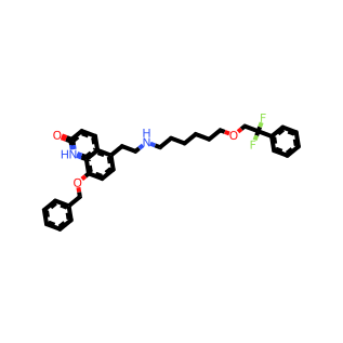 O=c1ccc2c(CCNCCCCCCOCC(F)(F)c3ccccc3)ccc(OCc3ccccc3)c2[nH]1